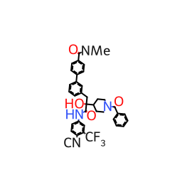 CNC(=O)c1ccc(-c2cccc(CC(O)(C(=O)Nc3ccc(C#N)c(C(F)(F)F)c3)C3CCN(C(=O)c4ccccc4)CC3)c2)cc1